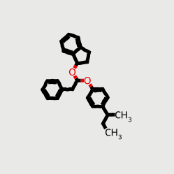 CCC(C)c1ccc(OC(Cc2ccccc2)OC2CCc3ccccc32)cc1